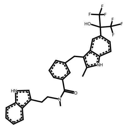 Cc1[nH]c2ccc(C(O)(C(F)(F)F)C(F)(F)F)cc2c1Cc1cccc(C(=O)N(C)CCc2c[nH]c3ccccc23)c1